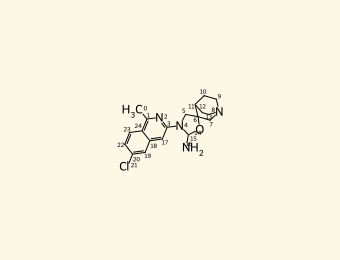 Cc1nc(N2CC3(CN4CCC3CC4)OC2N)cc2cc(Cl)ccc12